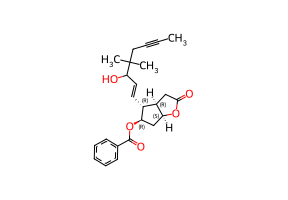 CC#CCC(C)(C)C(O)C=C[C@@H]1[C@H]2CC(=O)O[C@H]2C[C@H]1OC(=O)c1ccccc1